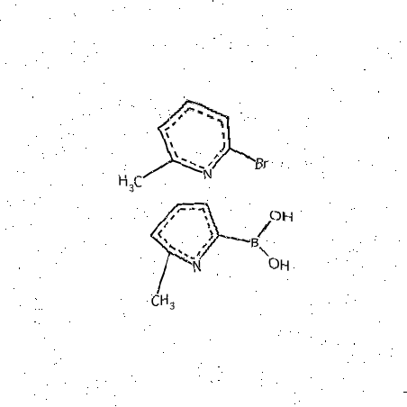 Cc1cccc(B(O)O)n1.Cc1cccc(Br)n1